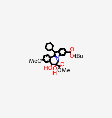 COC(=O)[C@]1(O)Cn2c(c(C3CCCCC3)c3ccc(C(=O)OC(C)(C)C)cc32)-c2ccc(OC)cc2[C@H]1O